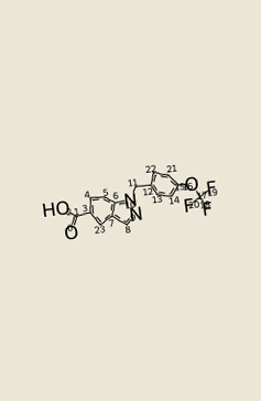 O=C(O)c1ccc2c(cnn2Cc2ccc(OC(F)(F)F)cc2)c1